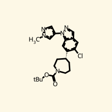 Cn1cc(-n2ncc3cc(Cl)c([C@@H]4CCCN(C(=O)OC(C)(C)C)CC4)cc32)cn1